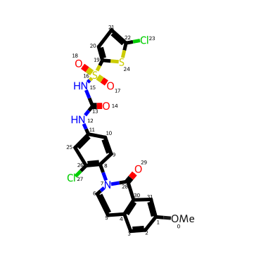 COc1ccc2ccn(-c3ccc(NC(=O)NS(=O)(=O)c4ccc(Cl)s4)cc3Cl)c(=O)c2c1